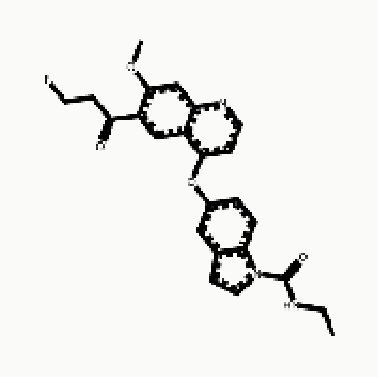 CCNC(=O)n1ccc2cc(Oc3ccnc4cc(OC)c(C(=O)CCF)cc34)ccc21